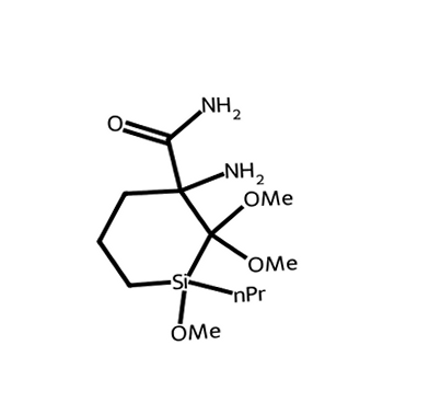 CCC[Si]1(OC)CCCC(N)(C(N)=O)C1(OC)OC